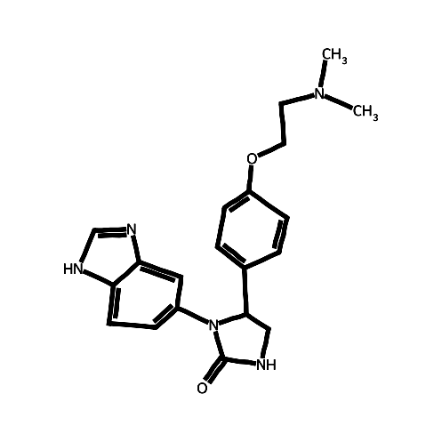 CN(C)CCOc1ccc(C2CNC(=O)N2c2ccc3[nH]cnc3c2)cc1